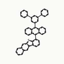 c1ccc(-c2cc(-c3ccccc3)cc(-c3c4ccccc4c(-c4cccc5c4sc4cc6ccccc6cc45)c4ccccc34)c2)cc1